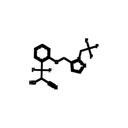 N#CC(O)C(F)(F)c1ccccc1OCc1ccnn1CC(F)(F)F